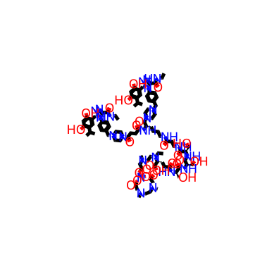 CCNC(=O)c1nnc(-c2cc(C(C)C)c(O)cc2O)n1-c1ccc(CN2CCN(C(=O)CCC(=O)N[C@@H](CCCCNC(=O)CCNC(=O)[C@@H](CO)NC(=O)[C@@H](CO)NC(=O)[C@@H](CO)NC(=O)CC[C@H](C(=O)O)N(CC)CCN(C)CC(=O)ON3OC(=O)CN(C)CCN(C)CC(=O)O3)C(=O)N3CCN(Cc4ccc(-n5c(C(=O)NCC)nnc5-c5cc(C(C)C)c(O)cc5O)cc4)CC3)CC2)cc1